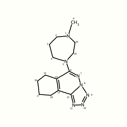 CN1CCCN(c2nn3nnnc3c3c2CCCC3)CC1